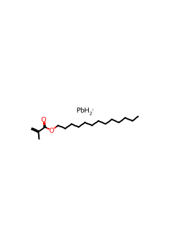 C=C(C)C(=O)OCCCCCCCCCCCCC.[PbH2]